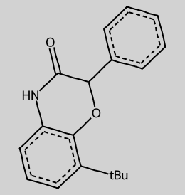 CC(C)(C)c1cccc2c1OC(c1ccccc1)C(=O)N2